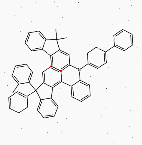 Cc1ccccc1C1(C2=CC=CCC2)c2ccccc2-c2c(-c3ccccc3N(C3=CC=C(c4ccccc4)CC3)c3ccc4c(c3)C(C)(C)c3ccccc3-4)cccc21